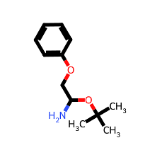 CC(C)(C)OC(N)COc1ccccc1